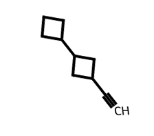 C#CC1CC(C2CCC2)C1